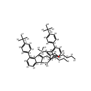 CCCCCCC1=C2c3c(-c4ccc(C(C)(C)C)cc4)cccc3[CH]1[Zr][CH]1C(CCCCCC)=C(c3c(-c4ccc(C(C)(C)C)cc4)cccc31)[Si]2(C)C